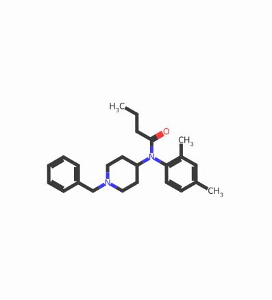 CCCC(=O)N(c1ccc(C)cc1C)C1CCN(Cc2ccccc2)CC1